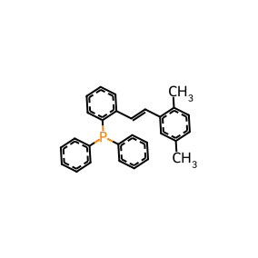 Cc1ccc(C)c(/C=C/c2ccccc2P(c2ccccc2)c2ccccc2)c1